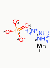 O=P([O-])([O-])[O-].[Mn].[NH4+].[NH4+].[NH4+]